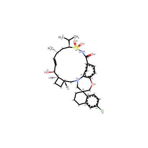 CC(C)[C@@H]1C[C@@H](C)/C=C/[C@H](O)[C@@H]2CC[C@H]2CN2C[C@@]3(CCCc4cc(Cl)ccc43)COc3ccc(cc32)C(=O)NS1(=O)=O